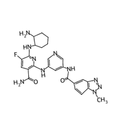 Cn1nnc2cc(C(=O)Nc3cncc(Nc4nc(NC5CCCCC5N)c(F)cc4C(N)=O)c3)ccc21